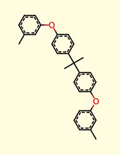 Cc1cccc(Oc2ccc(C(C)(C)c3ccc(Oc4cccc(C)c4)cc3)cc2)c1